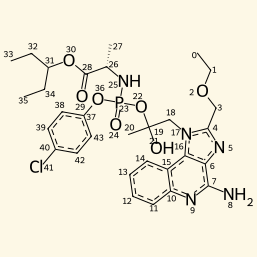 CCOCc1nc2c(N)nc3ccccc3c2n1CC(C)(O)OP(=O)(N[C@@H](C)C(=O)OC(CC)CC)Oc1ccc(Cl)cc1